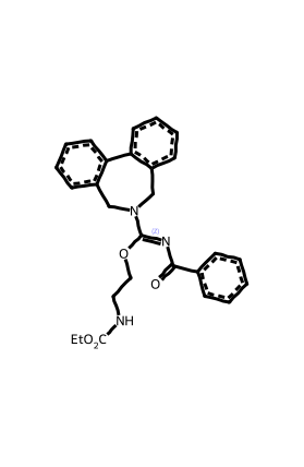 CCOC(=O)NCCO/C(=N\C(=O)c1ccccc1)N1Cc2ccccc2-c2ccccc2C1